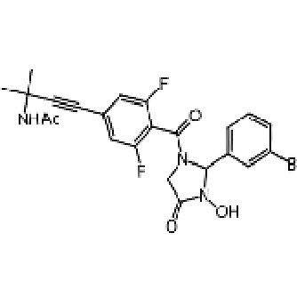 CC(=O)NC(C)(C)C#Cc1cc(F)c(C(=O)N2CC(=O)N(O)C2c2cccc(Br)c2)c(F)c1